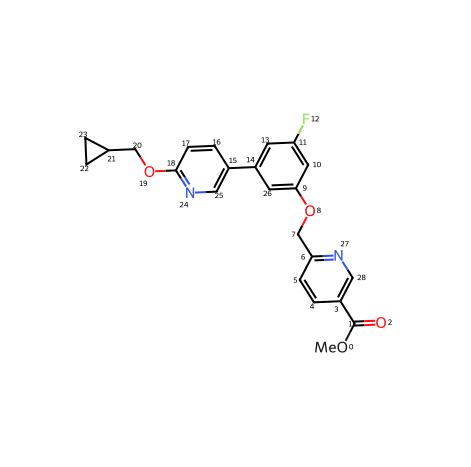 COC(=O)c1ccc(COc2cc(F)cc(-c3ccc(OCC4CC4)nc3)c2)nc1